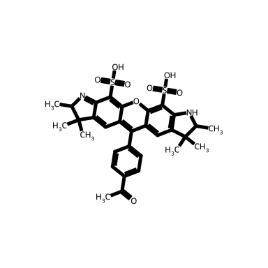 CC(=O)c1ccc(C2=c3cc4c(c(S(=O)(=O)O)c3Oc3c2cc2c(c3S(=O)(=O)O)NC(C)C2(C)C)=NC(C)C4(C)C)cc1